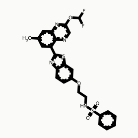 Cc1cc(-c2nc3ccc(OCCNS(=O)(=O)c4ccccc4)cc3s2)c2ncc(OC(F)F)nc2c1